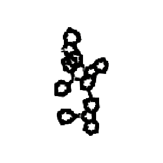 c1ccc(N(c2ccccc2)c2cc(-c3ccc4c5ccccc5n(-c5ccccc5)c4c3)cc3c4ccccc4n(-c4ccc5sc6ccccc6c5c4)c23)cc1